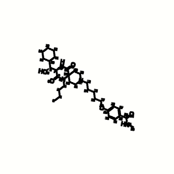 CCCCN1C(=O)[C@@H]([C@H](O)C2CCCCC2)NC(=O)C12CCN(CCCCCOc1ccc(C(=O)NC)cc1)CC2